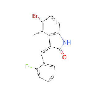 Cc1c(Br)ccc2c1C(=Cc1ccccc1F)C(=O)N2